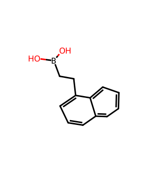 OB(O)CCc1cccc2ccccc12